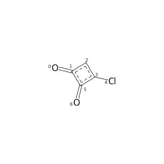 O=c1cc(Cl)c1=O